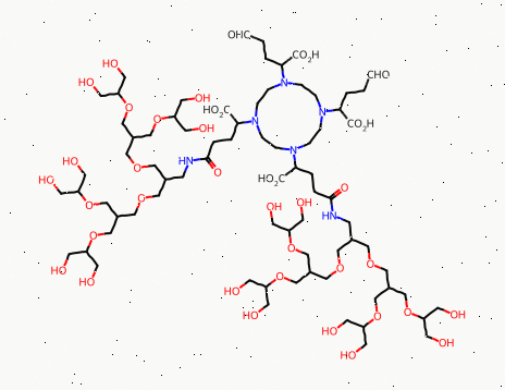 O=CCCC(C(=O)O)N1CCN(C(CCC=O)C(=O)O)CCN(C(CCC(=O)NCC(COCC(COC(CO)CO)COC(CO)CO)COCC(COC(CO)CO)COC(CO)CO)C(=O)O)CCN(C(CCC(=O)NCC(COCC(COC(CO)CO)COC(CO)CO)COCC(COC(CO)CO)COC(CO)CO)C(=O)O)CC1